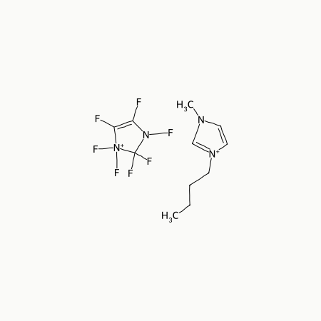 CCCC[n+]1ccn(C)c1.FC1=C(F)[N+](F)(F)C(F)(F)N1F